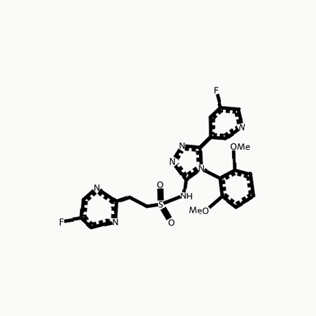 COc1cccc(OC)c1-n1c(NS(=O)(=O)CCc2ncc(F)cn2)nnc1-c1cncc(F)c1